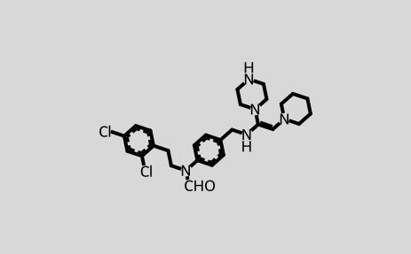 O=CN(CCc1ccc(Cl)cc1Cl)c1ccc(CN/C(=C/N2CCCCC2)N2CCNCC2)cc1